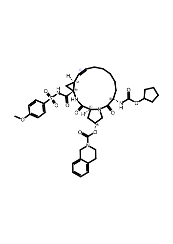 COc1ccc(S(=O)(=O)NC(=O)[C@@]23C[C@H]2/C=C\CCCCC[C@H](NC(=O)OC2CCCC2)C(=O)N2C[C@H](OC(=O)N4CCc5ccccc5C4)C[C@H]2C(=O)N3)cc1